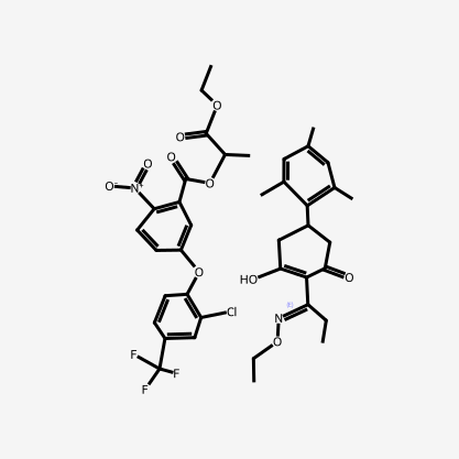 CCO/N=C(\CC)C1=C(O)CC(c2c(C)cc(C)cc2C)CC1=O.CCOC(=O)C(C)OC(=O)c1cc(Oc2ccc(C(F)(F)F)cc2Cl)ccc1[N+](=O)[O-]